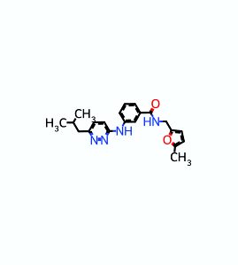 Cc1ccc(CNC(=O)c2cccc(Nc3ccc(CC(C)C)nn3)c2)o1